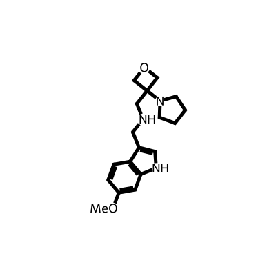 COc1ccc2c(CNCC3(N4CCCC4)COC3)c[nH]c2c1